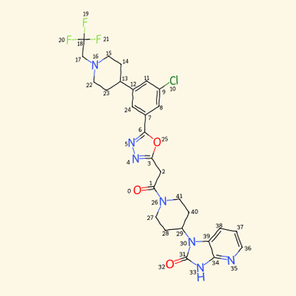 O=C(Cc1nnc(-c2cc(Cl)cc(C3CCN(CC(F)(F)F)CC3)c2)o1)N1CCC(n2c(=O)[nH]c3ncccc32)CC1